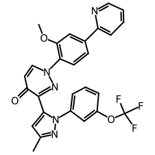 COc1cc(-c2ccccn2)ccc1-n1ccc(=O)c(-c2cc(C)nn2-c2cccc(OC(F)(F)F)c2)n1